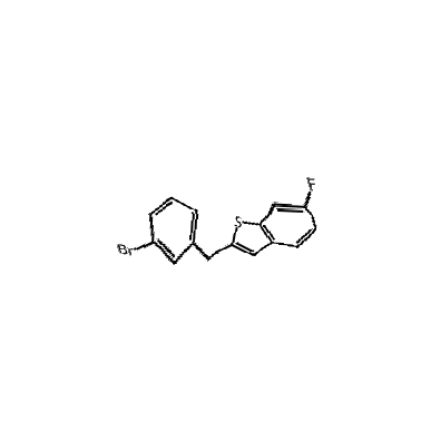 Fc1ccc2cc(Cc3cccc(Br)c3)sc2c1